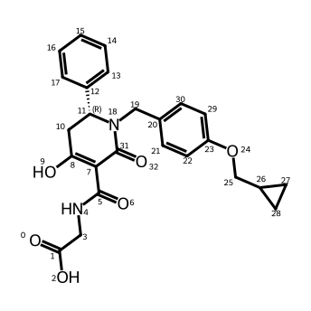 O=C(O)CNC(=O)C1=C(O)C[C@H](c2ccccc2)N(Cc2ccc(OCC3CC3)cc2)C1=O